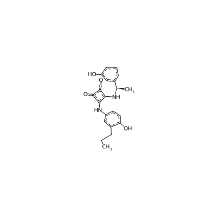 CCCc1cc(Nc2c(N[C@H](C)c3cccc(O)c3)c(=O)c2=O)ccc1O